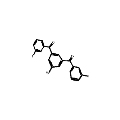 O=C(c1cccc(F)c1)c1cc(Br)cc(C(=O)c2cccc(F)c2)c1